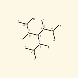 CN(C)[SH](C)N([SH](C)N(C)C)[SH](C)N(C)C